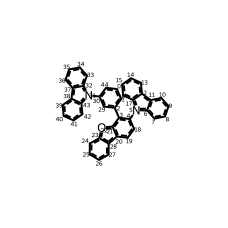 c1cc(-c2c(-n3c4ccccc4c4ccccc43)ccc3c2oc2ccccc23)cc(-n2c3ccccc3c3ccccc32)c1